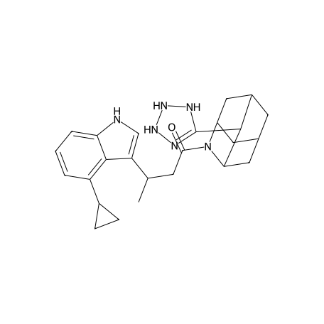 CC(CC(=O)N1C2CC3CC(C2)C(C2=NNNN2)C1C3)c1c[nH]c2cccc(C3CC3)c12